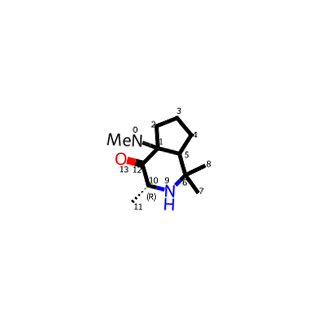 CNC12CCCC1C(C)(C)N[C@H](C)C2=O